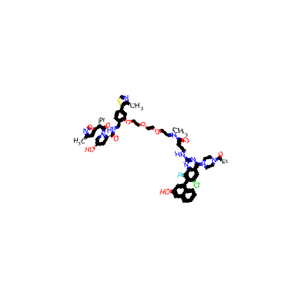 CCC(=O)N1CCN(c2nc(NCCC(=O)N(C)CCOCCOCCOc3cc(-c4scnc4C)ccc3CNC(=O)[C@@H]3C[C@@H](O)CN3C(=O)[C@H](c3cc(C)no3)C(C)C)nc3c(F)c(-c4cc(O)cc5ccccc45)c(Cl)cc23)CC1